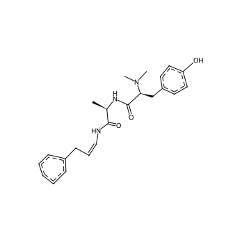 C[C@@H](NC(=O)[C@H](Cc1ccc(O)cc1)N(C)C)C(=O)N/C=C\Cc1ccccc1